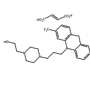 O=C(O)C=CC(=O)O.OCCN1CCN(CCCN2c3ccccc3Sc3ccc(C(F)(F)F)cc32)CC1